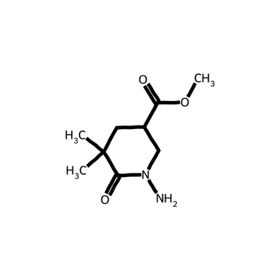 COC(=O)C1CN(N)C(=O)C(C)(C)C1